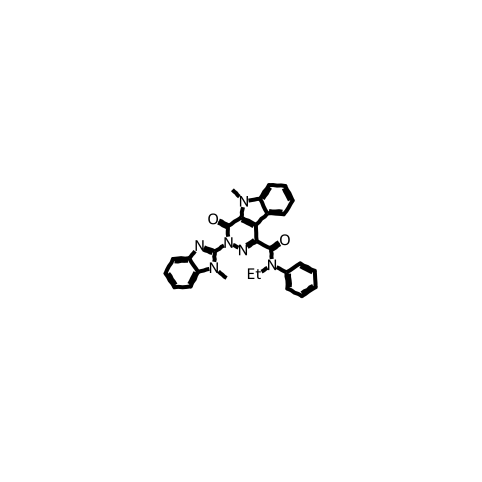 CCN(C(=O)c1nn(-c2nc3ccccc3n2C)c(=O)c2c1c1ccccc1n2C)c1ccccc1